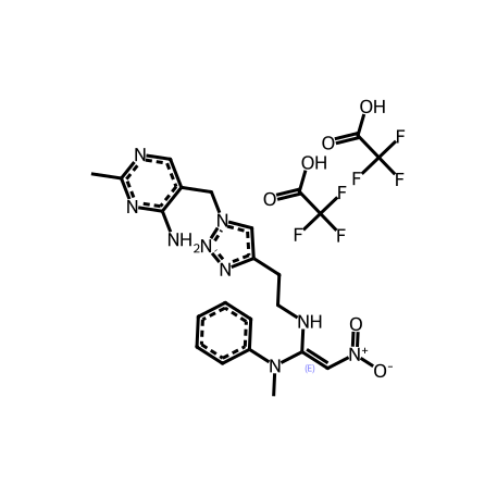 Cc1ncc(Cn2cc(CCN/C(=C\[N+](=O)[O-])N(C)c3ccccc3)nn2)c(N)n1.O=C(O)C(F)(F)F.O=C(O)C(F)(F)F